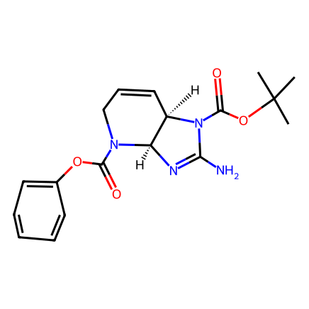 CC(C)(C)OC(=O)N1C(N)=N[C@@H]2[C@H]1C=CCN2C(=O)Oc1ccccc1